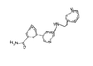 NC(=O)c1cccc(-c2cncc(NCc3cccnc3)c2)c1